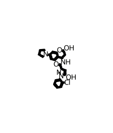 O=C(O)CC(NC(=O)c1cc(O)n(-c2ccccc2Cl)n1)c1ccc(N2CCCC2)cc1